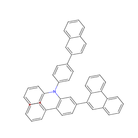 c1ccc(-c2ccc(-c3cc4ccccc4c4ccccc34)cc2N(c2ccccc2)c2ccc(-c3ccc4ccccc4c3)cc2)cc1